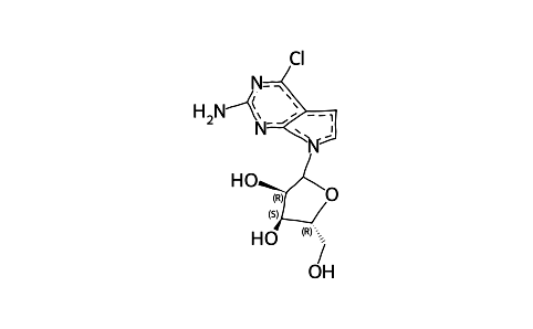 Nc1nc(Cl)c2ccn(C3O[C@H](CO)[C@@H](O)[C@H]3O)c2n1